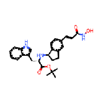 CC(C)(C)OC(=O)[C@H](Cc1c[nH]c2ccccc12)NC1CCc2cc(/C=C/C(=O)NO)ccc21